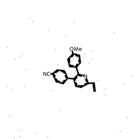 C=Cc1ccc(-c2ccc(C#N)cc2)c(-c2ccc(OC)cc2)n1